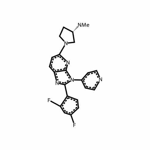 CN[C@H]1CCN(c2ccc3nc(-c4ccc(F)cc4F)n(-c4ccncc4)c3n2)C1